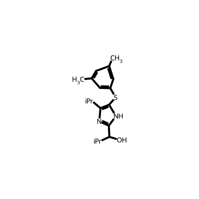 Cc1cc(C)cc(Sc2[nH]c(C(O)C(C)C)nc2C(C)C)c1